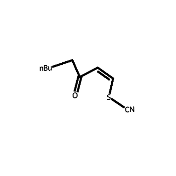 CCCCCC(=O)/C=C\SC#N